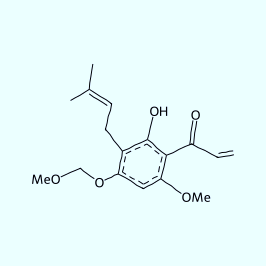 C=CC(=O)c1c(OC)cc(OCOC)c(CC=C(C)C)c1O